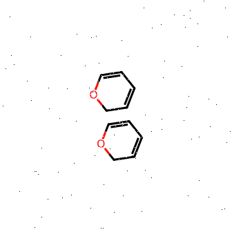 C1=CCOC=C1.C1=CCOC=C1